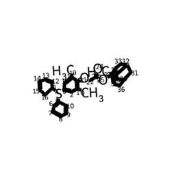 Cc1cc([S+](c2ccccc2)C2C=CC=CC2)cc(C)c1OCC(=O)OC1(C)C2CC3CC(C2)CC1C3